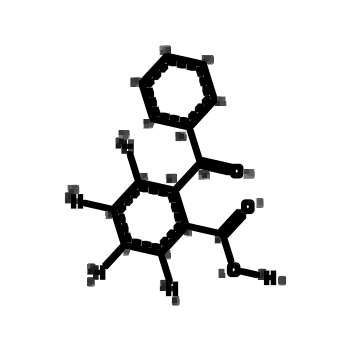 [2H]OC(=O)c1c([2H])c([2H])c([2H])c([2H])c1C(=O)c1ccccc1